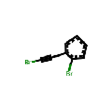 BrC#Cc1ccccc1Br